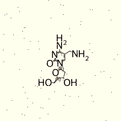 NCc1cn([C@H]2CC(O)[C@@H](CO)O2)c(=O)nc1N